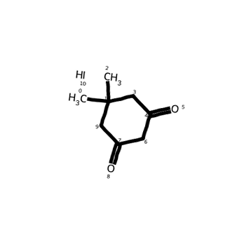 CC1(C)CC(=O)CC(=O)C1.I